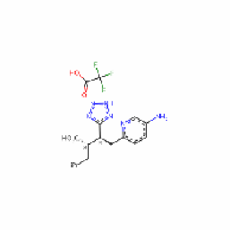 CC(C)C[C@H](C(=O)O)[C@H](Cc1ccc(N)cn1)c1nn[nH]n1.O=C(O)C(F)(F)F